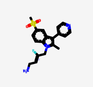 Cc1c(-c2ccncc2)c2cc(S(C)(=O)=O)ccc2n1C/C(F)=C/CN